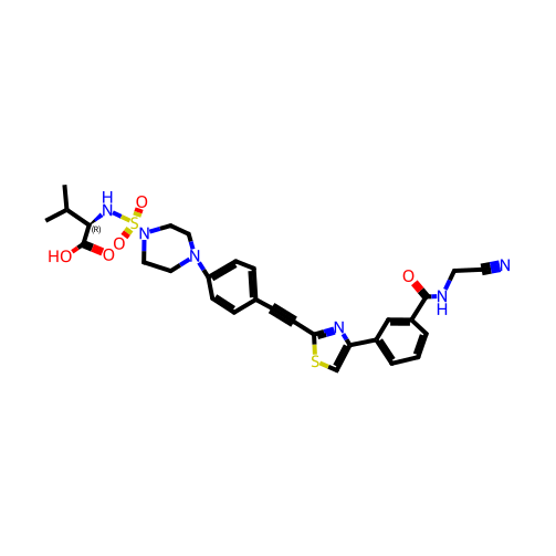 CC(C)[C@@H](NS(=O)(=O)N1CCN(c2ccc(C#Cc3nc(-c4cccc(C(=O)NCC#N)c4)cs3)cc2)CC1)C(=O)O